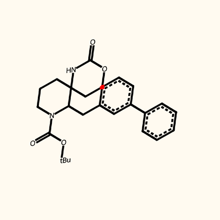 CC(C)(C)OC(=O)N1CCCC2(CCOC(=O)N2)C1Cc1cccc(-c2ccccc2)c1